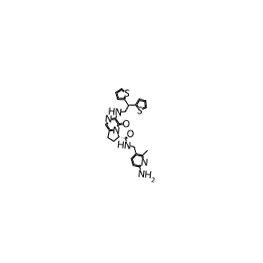 Cc1nc(N)ccc1CNC(=O)[C@@H]1CCc2cnc(NCC(c3cccs3)c3cccs3)c(=O)n21